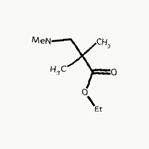 CCOC(=O)C(C)(C)CNC